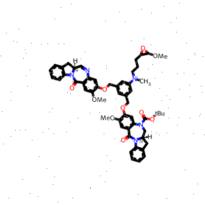 COc1cc2c(cc1OCc1cc(COc3cc4c(cc3OC)C(=O)N3c5ccccc5C[C@H]3CN4C(=O)OC(C)(C)C)cc(N(C)CCCC3OC3OC)c1)N=C[C@@H]1Cc3ccccc3N1C2=O